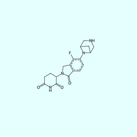 O=C1CCC(N2Cc3c(ccc(N4C5CNCC4C5)c3F)C2=O)C(=O)N1